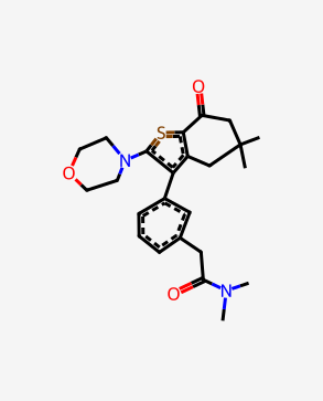 CN(C)C(=O)Cc1cccc(-c2c(N3CCOCC3)sc3c2CC(C)(C)CC3=O)c1